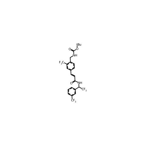 CC(C)(C)OC(=O)NCc1ccc(/C=C/C(=O)NC(c2cccc(C(F)(F)F)c2)C(F)(F)F)cc1C(F)(F)F